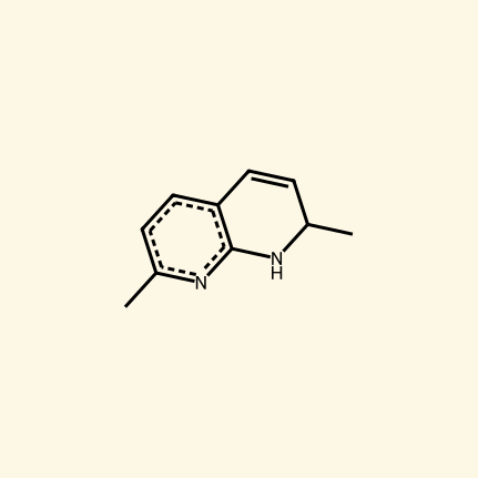 Cc1ccc2c(n1)NC(C)C=C2